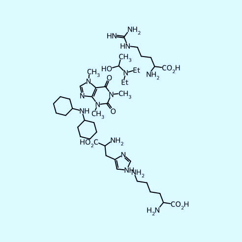 C1CCC(NC2CCCCC2)CC1.CCN(CC)C(C)O.Cn1c(=O)c2c(ncn2C)n(C)c1=O.N=C(N)NCCCC(N)C(=O)O.NC(Cc1c[nH]cn1)C(=O)O.NCCCCC(N)C(=O)O